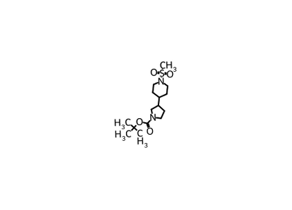 CC(C)(C)OC(=O)N1CCC(C2CCN(S(C)(=O)=O)CC2)C1